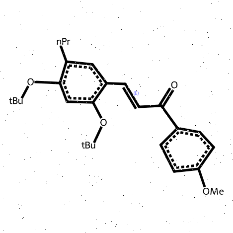 CCCc1cc(/C=C/C(=O)c2ccc(OC)cc2)c(OC(C)(C)C)cc1OC(C)(C)C